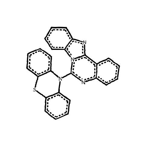 c1ccc2c(c1)Sc1ccccc1N2c1nc2ccccc2c2nc3ccccc3n12